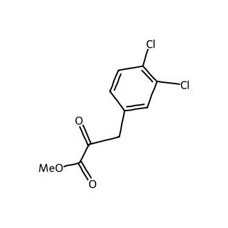 COC(=O)C(=O)Cc1ccc(Cl)c(Cl)c1